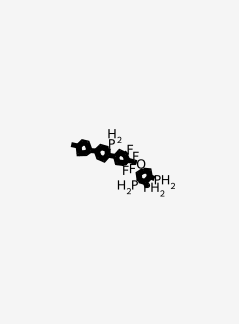 Cc1ccc(-c2ccc(-c3cc(F)c(C(F)(F)Oc4cc(P)c(P)c(P)c4)c(F)c3)c(P)c2)cc1